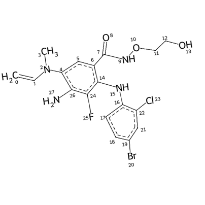 C=CN(C)c1cc(C(=O)NOCCO)c(Nc2ccc(Br)cc2Cl)c(F)c1N